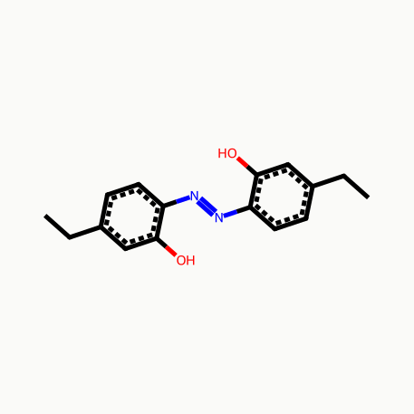 CCc1ccc(N=Nc2ccc(CC)cc2O)c(O)c1